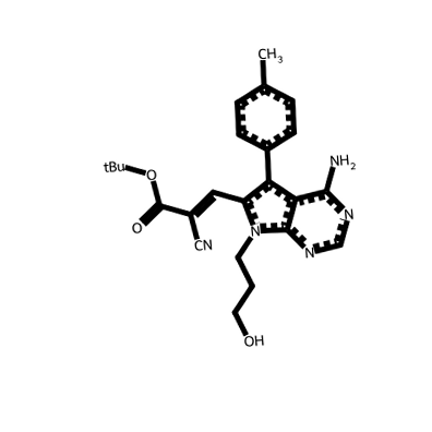 Cc1ccc(-c2c(/C=C(\C#N)C(=O)OC(C)(C)C)n(CCCO)c3ncnc(N)c23)cc1